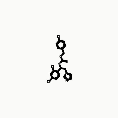 S=C(OCc1ccc(Cl)cc1)SC(Cn1ccnc1)c1ccc(Cl)cc1Cl